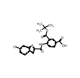 CC(C)(C)OC(=O)c1cc(C(=O)O)ccc1NC(=O)c1cc2ccc(Cl)cc2s1